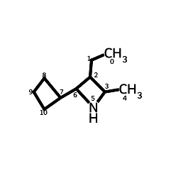 CCC1C(C)NC1C1CCC1